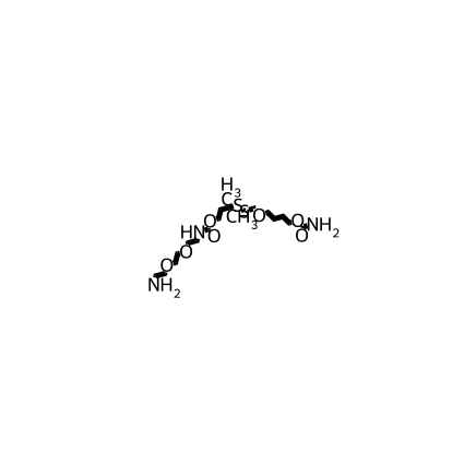 CC(C)(CCOC(=O)NCCOCCOCCN)SSCOCCCCOC(N)=O